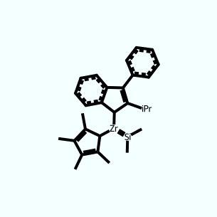 CC1=C(C)[CH]([Zr]([CH]2C(C(C)C)=C(c3ccccc3)c3ccccc32)=[Si](C)C)C(C)=C1C